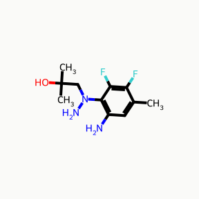 Cc1cc(N)c(N(N)CC(C)(C)O)c(F)c1F